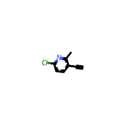 C#Cc1ccc(Cl)nc1C